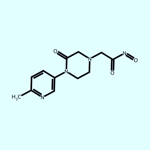 Cc1ccc(N2CCN(CC(=O)N=O)CC2=O)cn1